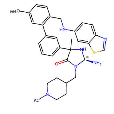 COc1ccc(CNc2ccc3ncsc3c2)c(-c2cccc(C3(C)N[C@@H](N)N(CC4CCN(C(C)=O)CC4)C3=O)c2)c1